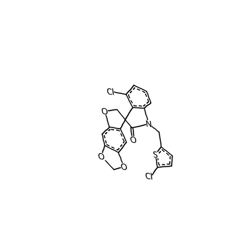 O=C1N(Cc2ccc(Cl)s2)c2cccc(Cl)c2C12COc1cc3c(cc12)OCO3